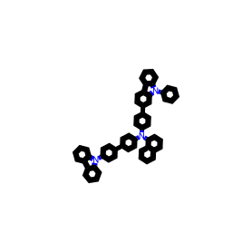 c1ccc(-n2c3ccccc3c3ccc(-c4ccc(N(c5ccc(-c6ccc(-n7c8ccccc8c8ccccc87)cc6)cc5)c5cccc6ccccc56)cc4)cc32)cc1